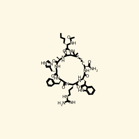 CCCC[C@H](NC(C)=O)C(=O)N[C@@H]1C(=O)N[C@H](C)C(=O)N[C@@H](Cc2c[nH]cn2)C(=O)N[C@H](Cc2ccccc2)C(=O)N[C@@H](CCCNC(=N)N)C(=O)N[C@@H](Cc2c[nH]c3ccccc23)C(=O)N[C@H](C(N)=O)CSSC1(C)C